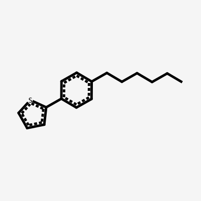 CCCCCCc1ccc(-c2cccs2)cc1